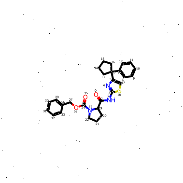 O=C(Nc1nc(C2(c3ccccc3)CCCC2)cs1)C1CCCN1C(=O)OCc1ccccc1